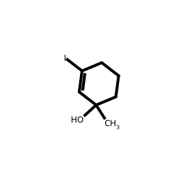 CC1(O)C=C(I)CCC1